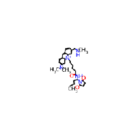 CCCCC(NC(=O)CCCCC[n+]1c2cc(CNC)ccc2cc2ccc(N(C)C)cc21)N1C(=O)C=CC1=O